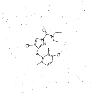 CCN(CC)C(=O)n1cc(Cl)c(Sc2c(C)ccc(Cl)c2C)n1